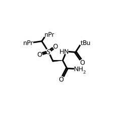 CCCC(CCC)S(=O)(=O)C[C@@H](NC(=O)C(C)(C)C)C(N)=O